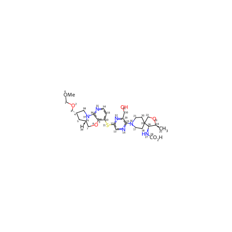 COCOC[C@H]1C[C@H]2COc3c(Sc4cnc(N5CCC6(CC5)CO[C@@H](C)[C@H]6NC(=O)O)c(CO)n4)ccnc3N2C1